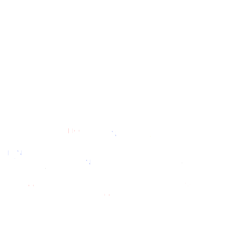 CCOC(=O)c1sc2c(c1C)C(=O)N(CCC(N)=O)C(O)N2CCc1ccccc1